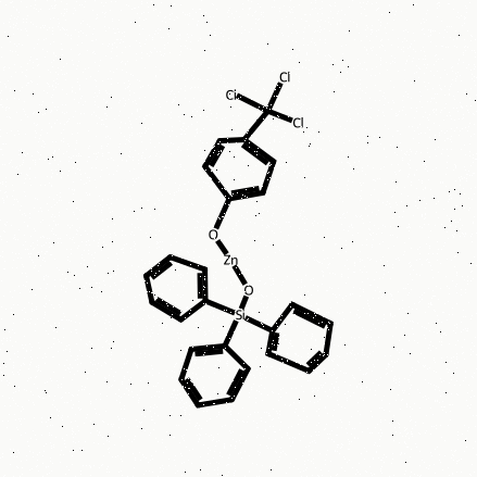 ClC(Cl)(Cl)c1ccc([O][Zn][O][Si](c2ccccc2)(c2ccccc2)c2ccccc2)cc1